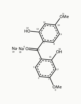 COc1ccc(C(=O)c2ccc(OC)cc2O)c(O)c1.[Na].[Na]